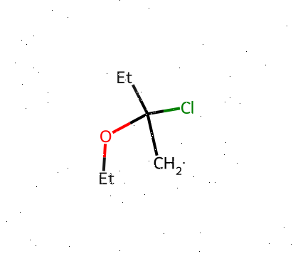 [CH2]C(Cl)(CC)OCC